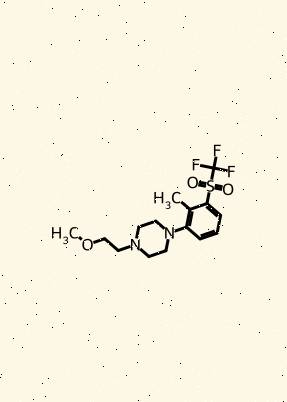 COCCN1CCN(c2cccc(S(=O)(=O)C(F)(F)F)c2C)CC1